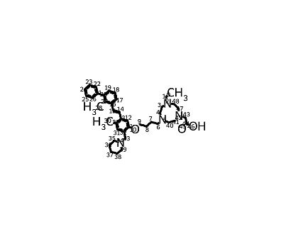 CCN1CCN(CCCCOc2cc(/C=C/c3cccc(-c4ccccc4)c3C)c(C)cc2CN2CCCCC2)CCN(CC(=O)O)CC1